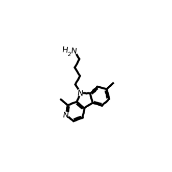 Cc1ccc2c3ccnc(C)c3n(CCCCN)c2c1